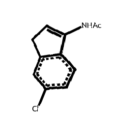 CC(=O)NC1=CCc2cc(Cl)ccc21